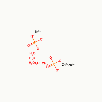 O.O.O.O.O.O=P([O-])([O-])[O-].O=P([O-])([O-])[O-].[Zn+2].[Zn+2].[Zn+2]